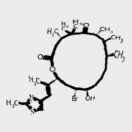 C/C(=C\c1csc(C)n1)[C@@H]1C[C@@H](Br)[C@H](O)CCC[C@H](C)[C@H](C)[C@@H](C)C(=O)C(C)(C)[C@@H](C)CC(=O)O1